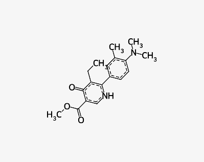 CCc1c(-c2ccc(N(C)C)c(C)c2)[nH]cc(C(=O)OC)c1=O